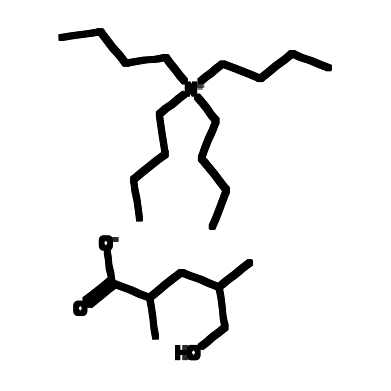 CC(CO)CC(C)C(=O)[O-].CCCC[N+](CCCC)(CCCC)CCCC